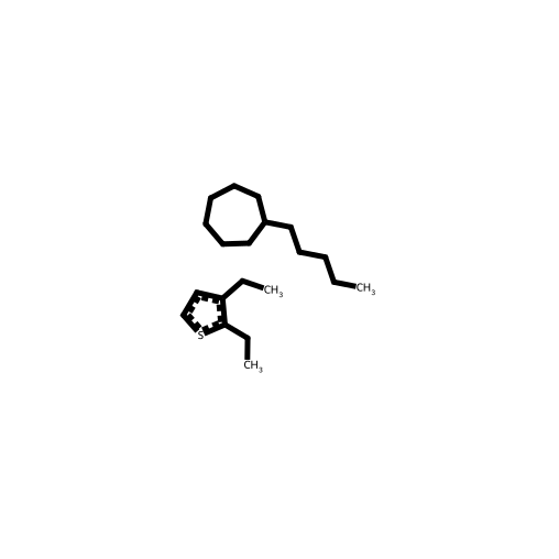 CCCCCC1CCCCCC1.CCc1ccsc1CC